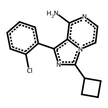 Nc1nccn2c(C3CCC3)nc(-c3ccccc3Cl)c12